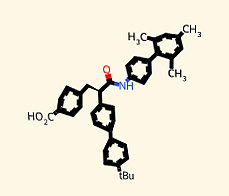 Cc1cc(C)c(-c2ccc(NC(=O)[C@H](Cc3ccc(C(=O)O)cc3)c3ccc(-c4ccc(C(C)(C)C)cc4)cc3)cc2)c(C)c1